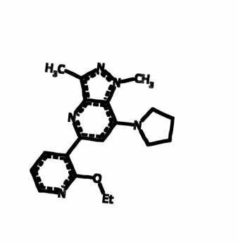 CCOc1ncccc1-c1cc(N2CCCC2)c2c(n1)c(C)nn2C